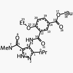 CCCc1n[nH]c(C(=O)NC)c1NC(=O)c1cc(C(=O)OC(C)(C)C)ccc1OCC